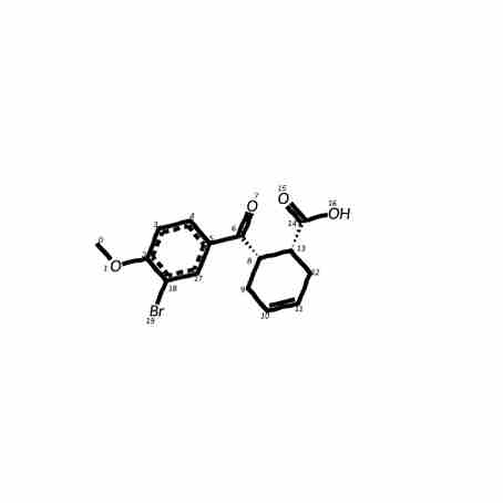 COc1ccc(C(=O)[C@H]2CC=CC[C@H]2C(=O)O)cc1Br